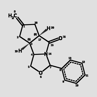 C=C1C[C@@H]2C3COC(c4ccccc4)N3C(=O)[C@@H]2C1